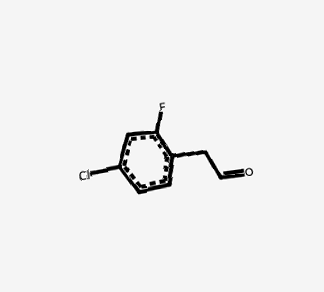 O=CCc1ccc(Cl)cc1F